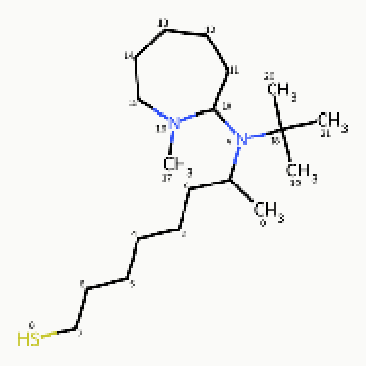 CC(CCCCCCS)N(C1CCCCCN1C)C(C)(C)C